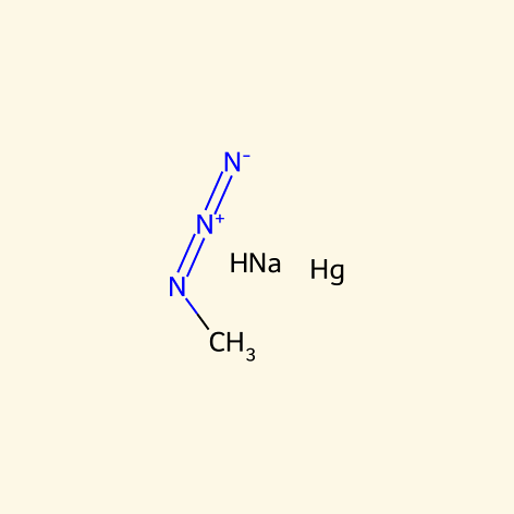 CN=[N+]=[N-].[Hg].[NaH]